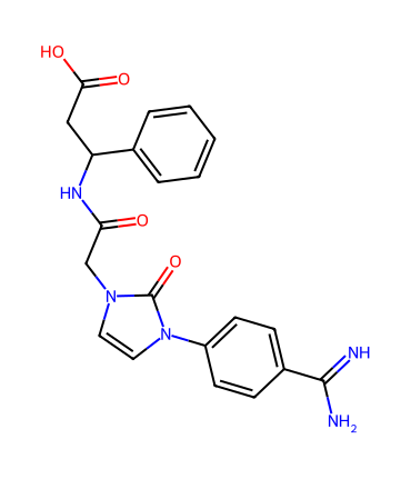 N=C(N)c1ccc(-n2ccn(CC(=O)NC(CC(=O)O)c3ccccc3)c2=O)cc1